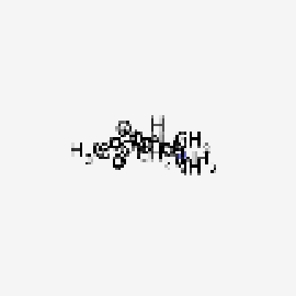 COc1ccc(C(=O)N2CCC(CCNc3ccc(/C(C=N)=C/N)c(OC)c3)(OC)CC2)c(OCc2ccccc2)c1